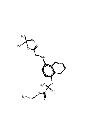 CCOC(=O)C(C)(C)Oc1ccc(NCC(=O)OC(C)(C)C)c2c1CCCC2